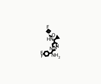 N[C@H](c1cn2ncc([C@H](NC(=O)C[C@]34C[C@](F)(C3)C4)C3CC3)cc2n1)C1CCC(F)(F)CC1